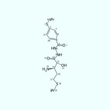 CCCSc1ccc(C(=O)NNC(=O)C(O)[C@H](N)CCSC(C)C)cc1